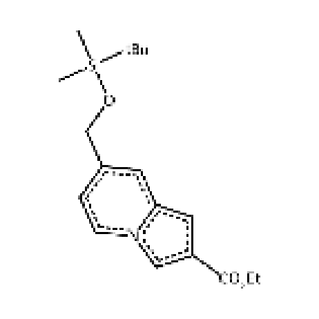 CCOC(=O)c1cc2cc(CO[Si](C)(C)C(C)(C)C)ccn2c1